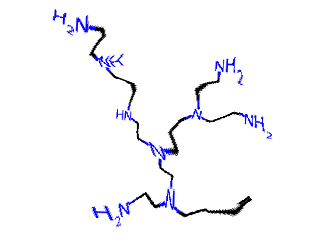 C=CCCN(CCN)CCN(CCNCCNCCN)CCN(CCN)CCN